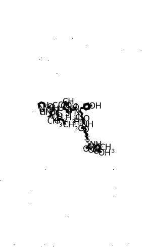 CCCC(=O)OCN(C(=O)[C@@H](NC(=O)[C@H]1CCCCN1C)[C@H](C)CC)[C@H](C[C@@H](OC(C)=O)c1nc(C(=O)N[C@@H](Cc2ccc(O)cc2)C[C@H](C)C(=O)NNC(=O)OCCSSC[C@H](NC(=O)C[C@H](C)C(=O)O)C(=O)O)cs1)C(C)C